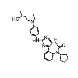 CCN(CCC(C)O)c1ccc(Nc2ncc3c(n2)-c2ccccc2N(C2CCCC2)C(=O)N3)cc1